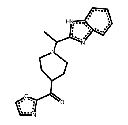 CC(c1nc2ccccc2[nH]1)N1CCC(C(=O)c2ncco2)CC1